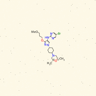 COCCCOc1nn([C@H]2CC[C@H](N3C[C@@H](C)O[C@@H](C)C3)CC2)cc1Nc1ncc(Br)cn1